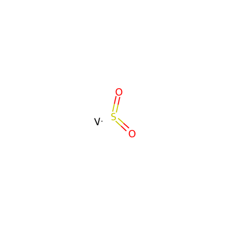 O=S=O.[V]